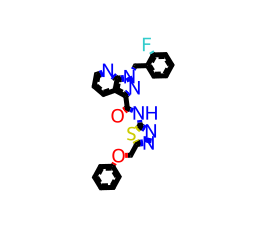 O=C(Nc1nnc(COc2ccccc2)s1)c1nn(Cc2ccccc2F)c2ncccc12